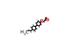 CCCC1CCC(C2CCC(OCC3CO3)CC2)CC1